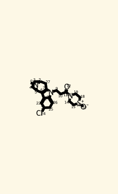 CN1C2CCC1c1c(n(CCC(=O)N3CC[S+]([O-])CC3)c3c1=CC(Cl)CC=3)C2